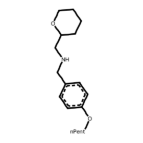 CCCCCOc1ccc(CNCC2CCCCO2)cc1